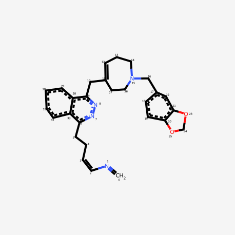 C=N/C=C\CCc1nnc(CC2=CCCN(Cc3ccc4c(c3)OCO4)CC2)c2ccccc12